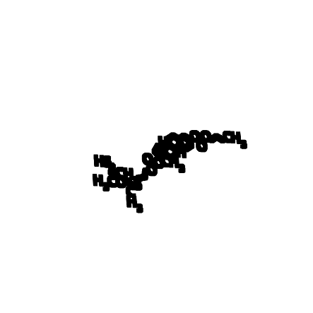 CCCCOC(=O)Oc1ccc2c(c1)CC[C@@H]1[C@H]3CC[C@@H](OC(=O)OCCCSC(C)COC(C)(C)CCS)[C@]3(C)CC[C@@H]21